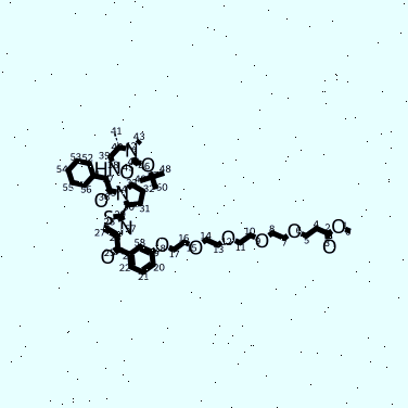 COC(=O)CCOCCOCCOCCOCCOc1cccc(C(=O)c2csc([C@@H]3CCCN3C(=O)[C@@H](NC[C@H](C)N(C)C(=O)OC(C)(C)C)C3CCCCC3)n2)c1